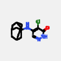 O=c1[nH]ncc(NC23CC4CC(CC(C4)C2)C3)c1Cl